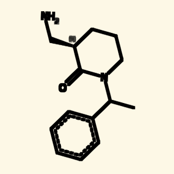 CC(c1ccccc1)N1CCC[C@H](CN)C1=O